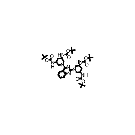 CC(C)(C)OC(=O)NC1CC(NC(=O)OC(C)(C)C)CN(c2nc(N3CC(NC(=O)OC(C)(C)C)CC(NC(=O)OC(C)(C)C)C3)c3ccccc3n2)C1